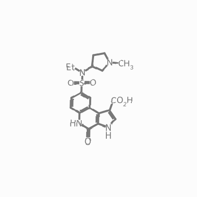 CCN(C1CCN(C)C1)S(=O)(=O)c1ccc2[nH]c(=O)c3[nH]cc(C(=O)O)c3c2c1